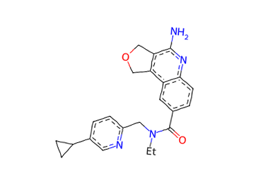 CCN(Cc1ccc(C2CC2)cn1)C(=O)c1ccc2nc(N)c3c(c2c1)COC3